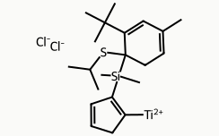 CC1=CCC(SC(C)C)([Si](C)(C)C2=[C]([Ti+2])CC=C2)C(C(C)(C)C)=C1.[Cl-].[Cl-]